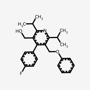 CC(C)c1nc(C(C)C)c(COc2ccccc2)c(-c2ccc(F)cc2)c1CO